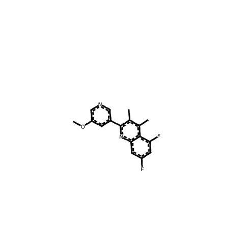 COc1cncc(-c2nc3cc(F)cc(F)c3c(C)c2C)c1